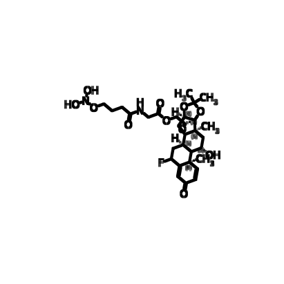 CC1(C)O[C@@H]2CC3[C@@H]4CC(F)C5=CC(=O)C=C[C@]5(C)C4[C@@H](O)C[C@]3(C)[C@]2(C(=O)COC(=O)CNC(=O)CCCON(O)O)O1